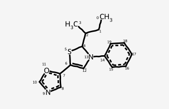 CCC(C)C1SC(c2cnco2)=[C]N1c1ccccc1